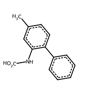 Cc1ccc(-c2ccccc2)c(NC(=O)O)c1